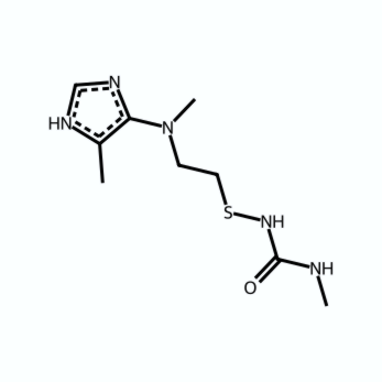 CNC(=O)NSCCN(C)c1nc[nH]c1C